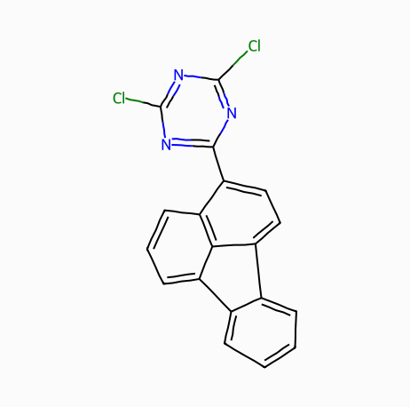 Clc1nc(Cl)nc(-c2ccc3c4c(cccc24)-c2ccccc2-3)n1